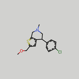 COCc1cc2c(s1)CN(C)CC2c1ccc(Cl)cc1